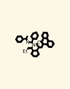 CC/C=C(/N=C(\N=C(/C)c1ccccc1)c1ccccc1)c1ccccc1-c1ccc2c3ccccc3c3ccccc3c2c1